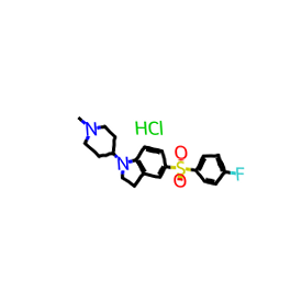 CN1CCC(N2CCc3cc(S(=O)(=O)c4ccc(F)cc4)ccc32)CC1.Cl